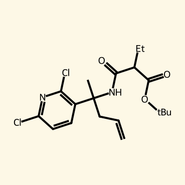 C=CCC(C)(NC(=O)C(CC)C(=O)OC(C)(C)C)c1ccc(Cl)nc1Cl